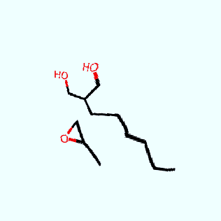 CC1CO1.CCCCCCC(CO)CO